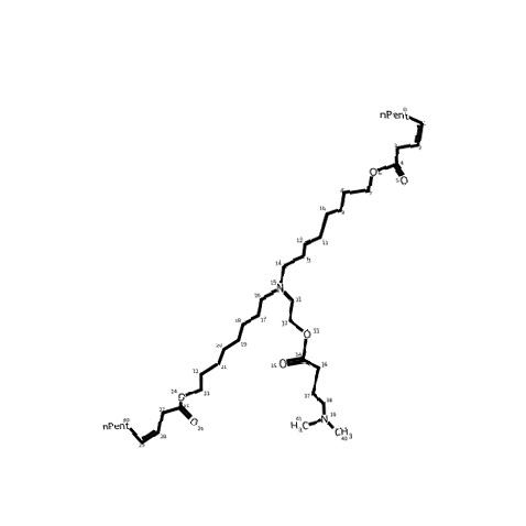 CCCCC/C=C\CC(=O)OCCCCCCCCN(CCCCCCCCOC(=O)C/C=C\CCCCC)CCOC(=O)CCCN(C)C